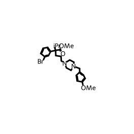 COC(=O)C(CCCN1CCN(Cc2ccc(OC)cc2)CC1)(c1cccc(Br)c1)C(C)C